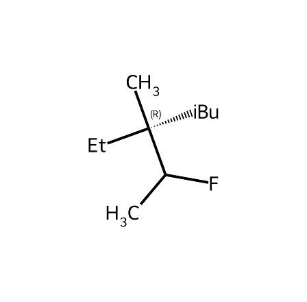 CCC(C)[C@@](C)(CC)C(C)F